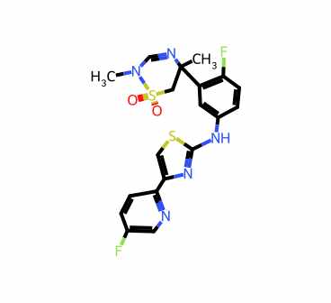 CN1C=NC(C)(c2cc(Nc3nc(-c4ccc(F)cn4)cs3)ccc2F)CS1(=O)=O